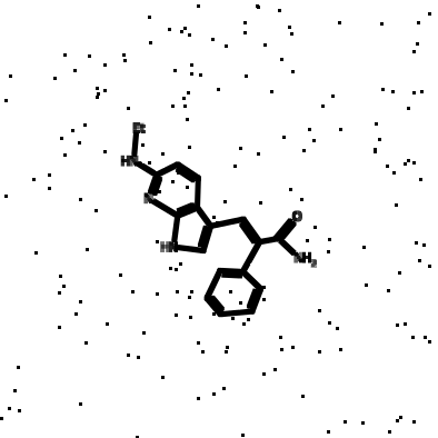 CCNc1ccc2c(C=C(C(N)=O)c3ccccc3)c[nH]c2n1